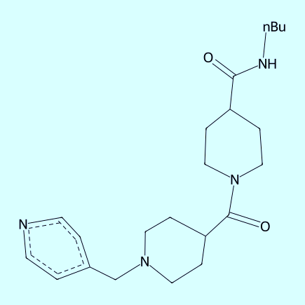 CCCCNC(=O)C1CCN(C(=O)C2CCN(Cc3ccncc3)CC2)CC1